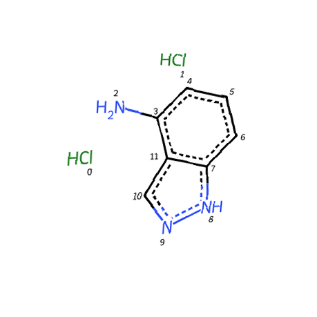 Cl.Cl.Nc1cccc2[nH]ncc12